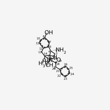 CN1CC[C@]2(N)c3cc(O)ccc3C[C@@H]1[C@H]2N(C)C(=O)Cc1ccccc1